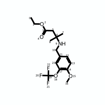 CCOC(=O)CC(C)(C)NCc1ccc(OC)c(OC(F)(F)F)c1